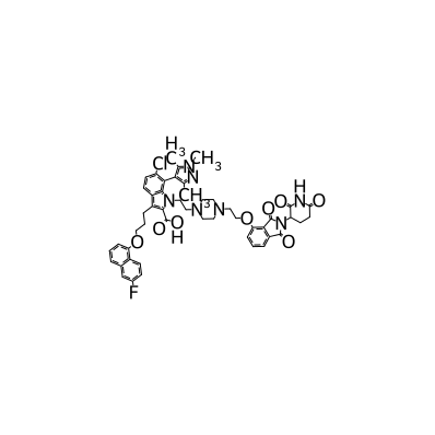 Cc1nn(C)c(C)c1-c1c(Cl)ccc2c(CCCOc3cccc4cc(F)ccc34)c(C(=O)O)n(CCN3CCN(CCOc4cccc5c4C(=O)N(C4CCC(=O)NC4=O)C5=O)CC3)c12